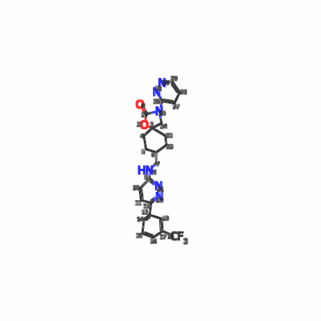 O=C1OC2(CCC(CNc3ccc(-c4cccc(C(F)(F)F)c4)nn3)CC2)CN1c1cccnn1